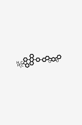 CC1(C)c2ccccc2-c2c(-c3c4ccccc4c(-c4ccc(-c5ccc6c(ccc7c8cc9c(cc8oc67)oc6ccccc69)c5)cc4)c4ccccc34)cccc21